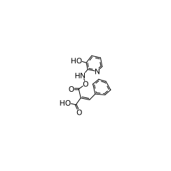 O=C(O)C(=Cc1ccccc1)C(=O)ONc1ncccc1O